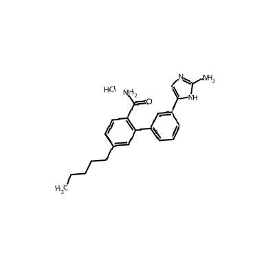 CCCCCc1ccc(C(N)=O)c(-c2cccc(-c3cnc(N)[nH]3)c2)c1.Cl